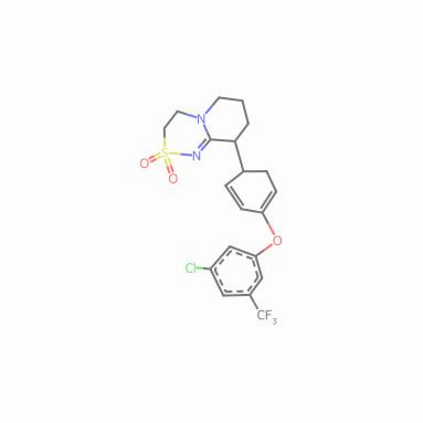 O=S1(=O)CCN2CCCC(C3C=CC(Oc4cc(Cl)cc(C(F)(F)F)c4)=CC3)C2=N1